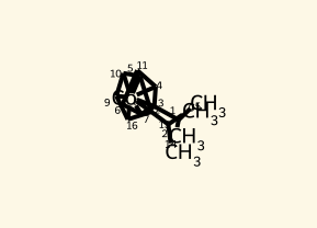 CC(C)[C]12[CH]3[CH]4[CH]5[CH]1[Co]45321678[CH]2[CH]1[CH]6[C]7(C(C)C)[CH]28